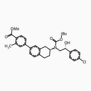 COC(=O)c1ccc(-c2ccc3c(c2)C[C@@H](N(C[C@H](O)c2ccc(Cl)cc2)C(=O)OC(C)(C)C)CC3)cc1C